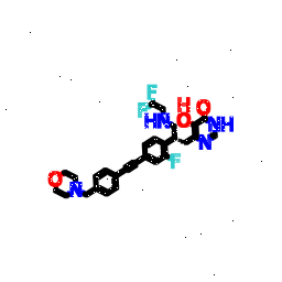 O=c1[nH]cnc(C[C@@H](CNCC(F)F)c2ccc(C#Cc3ccc(CN4CCOCC4)cc3)cc2F)c1O